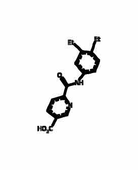 CCc1ccc(NC(=O)c2ccc(C(=O)O)cn2)cc1CC